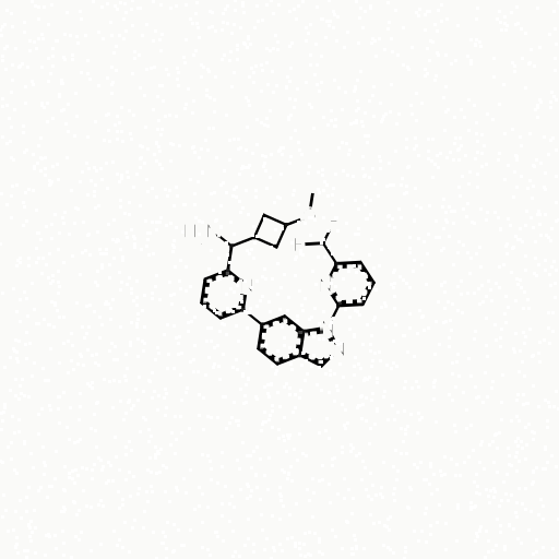 COC1CC(C(N)c2cccc(-c3ccc4cnn(-c5cccc(C(F)F)n5)c4c3)n2)C1